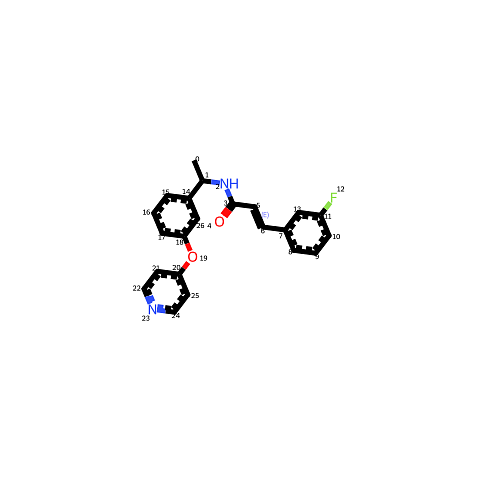 CC(NC(=O)/C=C/c1cccc(F)c1)c1cccc(Oc2ccncc2)c1